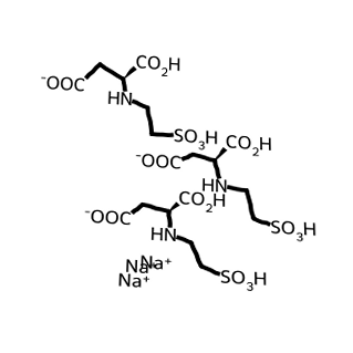 O=C([O-])C[C@H](NCCS(=O)(=O)O)C(=O)O.O=C([O-])C[C@H](NCCS(=O)(=O)O)C(=O)O.O=C([O-])C[C@H](NCCS(=O)(=O)O)C(=O)O.[Na+].[Na+].[Na+]